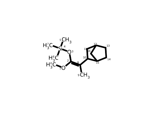 CO/C(O[Si](C)(C)C)=C(\C)C1CC2CCC1C2